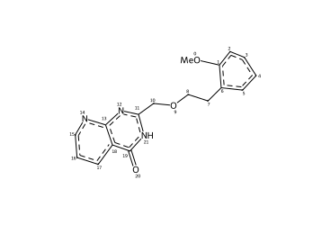 COc1ccccc1CCOCc1nc2ncccc2c(=O)[nH]1